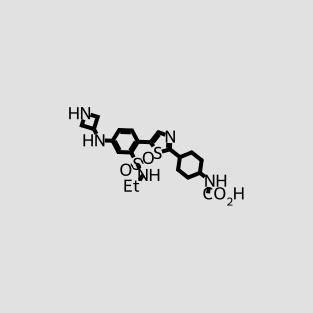 CCNS(=O)(=O)c1cc(NC2CNC2)ccc1-c1cnc(C2CCC(NC(=O)O)CC2)s1